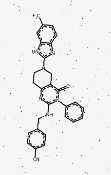 N#Cc1ccc(CNc2nc3c(c(=O)n2-c2ccccc2)CN(c2nc4ccc(C(F)(F)F)cc4[nH]2)CC3)cc1